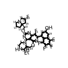 CCC1NCCN2c3nc(OC[C@@]45CCCN4C[C@H](F)C5)nc4c(F)c(-c5cc(O)cc6c(F)c(F)c(F)c(F)c56)nc(c34)OC[C@H]12